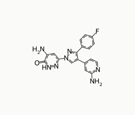 Nc1cc(-c2cn(-c3cc(N)c(=O)[nH]n3)nc2-c2ccc(F)cc2)ccn1